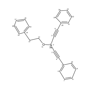 C(#C[SiH](C#Cc1ccccc1)OCCc1ccccc1)c1ccccc1